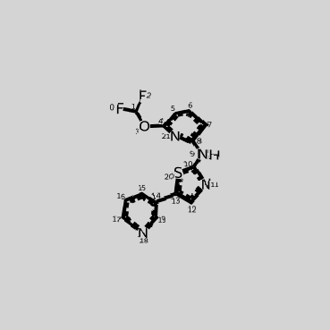 FC(F)Oc1cccc(Nc2ncc(-c3cccnc3)s2)n1